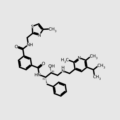 Cc1csc(CNC(=O)c2cccc(C(=O)N[C@@H](Cc3ccccc3)[C@H](O)CNCc3cc(C(C)C)c(C)nc3C)c2)n1